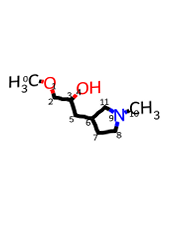 COCC(O)CC1CCN(C)C1